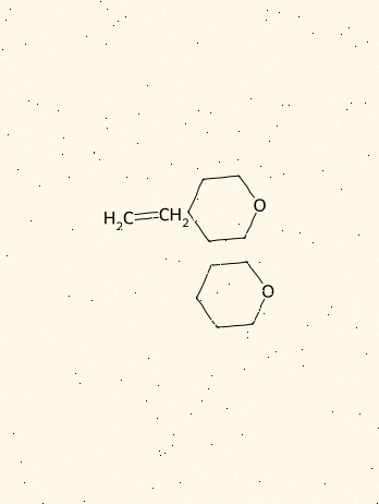 C1CCOCC1.C1CCOCC1.C=C